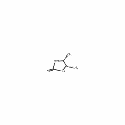 C[C@@H]1OC(=S)N[C@@H]1C